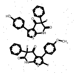 COc1ccc(-c2c(F)sc3c2C(=O)C(F)(c2ccccc2)C(=O)N3)cc1.O=C1Nc2scc(-c3ccc(O)cc3)c2C(=O)C1(F)c1ccccc1